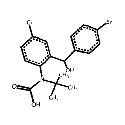 CC(C)(C)N(C(=O)O)c1ccc(Cl)cc1C(O)c1ccc(Br)cc1